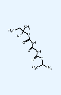 CCC(C)(C)OC(=O)NC(=S)NC(=O)OC(C)C